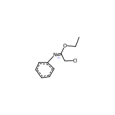 CCO/C(CCl)=N/c1ccccc1